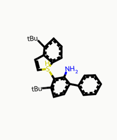 CC(C)(C)c1cccc2c1C=C[SH]2c1c(C(C)(C)C)ccc(-c2ccccc2)c1N